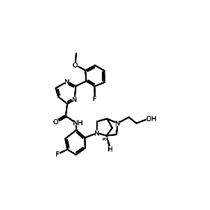 COc1cccc(F)c1-c1nccc(C(=O)Nc2cc(F)ccc2N2CC3C[C@@H]2CN3CCO)n1